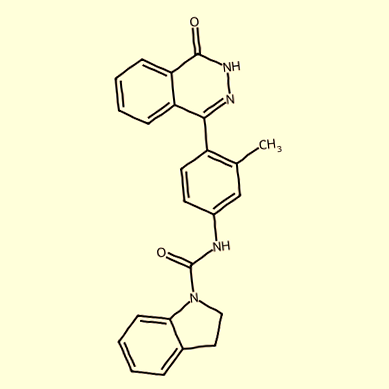 Cc1cc(NC(=O)N2CCc3ccccc32)ccc1-c1n[nH]c(=O)c2ccccc12